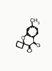 Cc1ccc2c(c1)OC1(CCC1)C(=O)C2=O